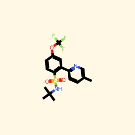 Cc1ccc(-c2cc(OC(F)(F)F)ccc2S(=O)(=O)NC(C)(C)C)nc1